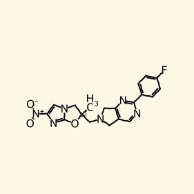 C[C@]1(CN2Cc3cnc(-c4ccc(F)cc4)nc3C2)Cn2cc([N+](=O)[O-])nc2O1